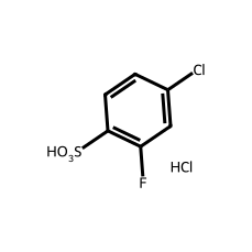 Cl.O=S(=O)(O)c1ccc(Cl)cc1F